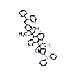 CCC(CC)(c1ccc(C=C(c2ccccc2)c2ccccc2)cc1)c1c2ccccc2c(C(CC)(CC)c2ccc(N(c3ccccc3)c3ccccc3)cc2)c2ccccc12